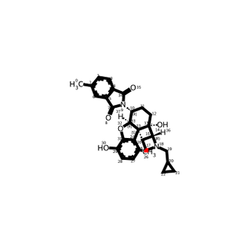 Cc1ccc2c(c1)C(=O)N([C@@H]1CC[C@@]3(O)[C@H]4C(CN4CC4CC4)[C@@]34c3c(C)ccc(O)c3O[C@@H]14)C2=O